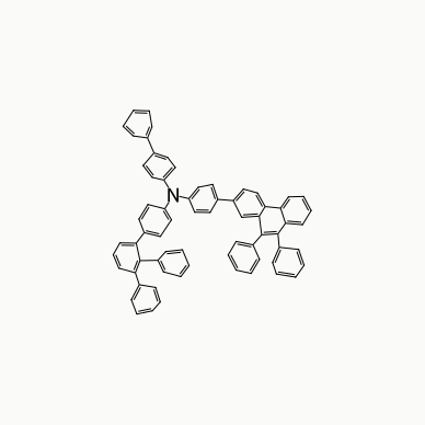 c1ccc(-c2ccc(N(c3ccc(-c4ccc5c(c4)c(-c4ccccc4)c(-c4ccccc4)c4ccccc45)cc3)c3ccc(-c4cccc(-c5ccccc5)c4-c4ccccc4)cc3)cc2)cc1